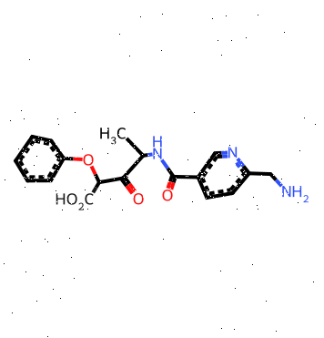 CC(NC(=O)c1ccc(CN)nc1)C(=O)C(Oc1ccccc1)C(=O)O